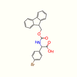 O=C(NC(C(=O)O)c1ccc(Br)cc1)OCC1c2ccccc2-c2ccccc21